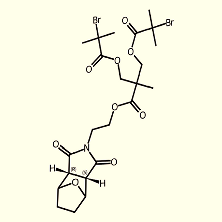 CC(C)(Br)C(=O)OCC(C)(COC(=O)C(C)(C)Br)C(=O)OCCN1C(=O)[C@@H]2C3CCC(O3)[C@@H]2C1=O